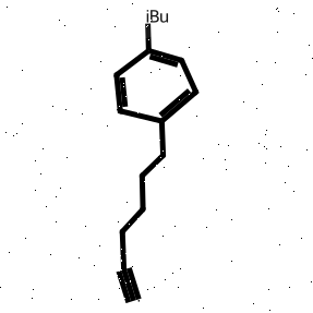 [C]#CCCCCc1ccc(C(C)CC)cc1